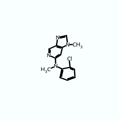 CN(c1cc2c(cn1)ncn2C)c1ccccc1Cl